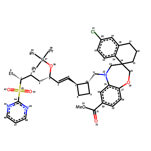 CC[C@H](CC[C@@H](/C=C/[C@@H]1CC[C@H]1CN1CC2(CCCc3cc(Cl)ccc32)COc2ccc(C(=O)OC)cc21)O[Si](C(C)C)(C(C)C)C(C)C)S(=O)(=O)c1ncccn1